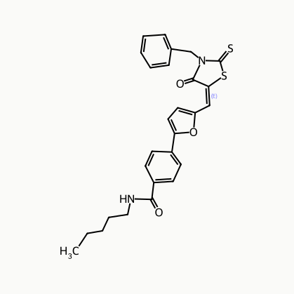 CCCCCNC(=O)c1ccc(-c2ccc(/C=C3/SC(=S)N(Cc4ccccc4)C3=O)o2)cc1